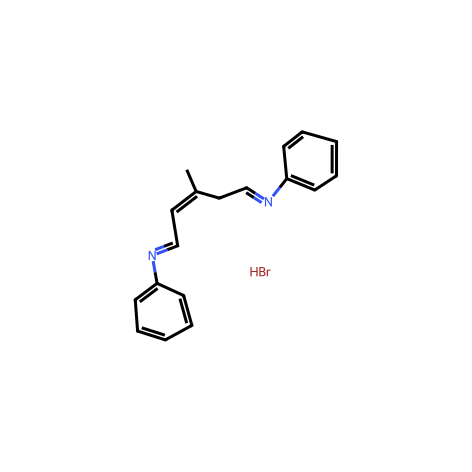 Br.CC(=CC=Nc1ccccc1)CC=Nc1ccccc1